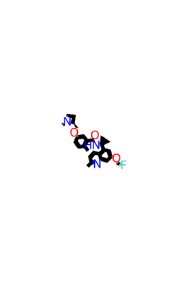 Cc1ccc2c(C3(NC(=O)c4cc(OC[C@@H]5CCN5C)ccc4C)CC3)cc(OCF)cc2n1